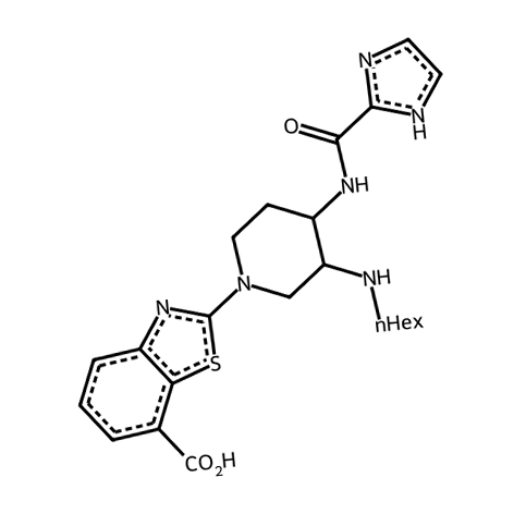 CCCCCCNC1CN(c2nc3cccc(C(=O)O)c3s2)CCC1NC(=O)c1ncc[nH]1